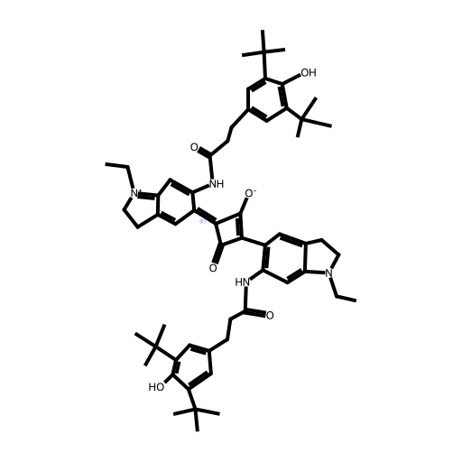 CCN1CCc2cc(C3=C([O-])/C(=c4/cc5c(cc4NC(=O)CCc4cc(C(C)(C)C)c(O)c(C(C)(C)C)c4)=[N+](CC)CC5)C3=O)c(NC(=O)CCc3cc(C(C)(C)C)c(O)c(C(C)(C)C)c3)cc21